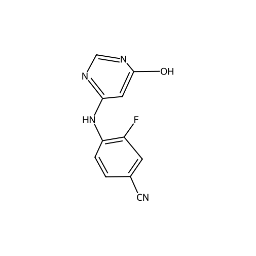 N#Cc1ccc(Nc2cc(O)ncn2)c(F)c1